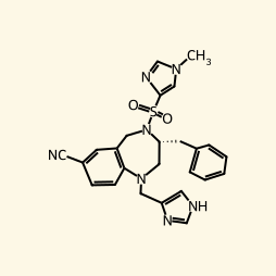 Cn1cnc(S(=O)(=O)N2Cc3cc(C#N)ccc3N(Cc3c[nH]cn3)C[C@H]2Cc2ccccc2)c1